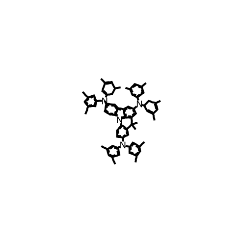 CC1=CC(C)CC(N(c2cc(C)cc(C)c2)c2ccc3c(c2)c2cc(N(c4cc(C)cc(C)c4)C4C=C(C)C=C(C)C4)cc4c2n3-c2ccc(N(c3cc(C)cc(C)c3)c3cc(C)cc(C)c3)cc2C4(C)C)=C1